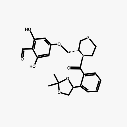 CC1(C)OCC(c2ccccc2C(=O)N2CCSC[C@H]2COc2cc(O)c(C=O)c(O)c2)O1